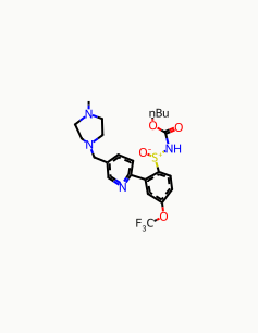 CCCCOC(=O)N[S+]([O-])c1ccc(OC(F)(F)F)cc1-c1ccc(CN2CCN(C)CC2)cn1